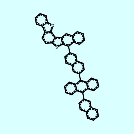 c1ccc2cc(-c3c4ccccc4c(-c4ccc5cc(-c6c7ccccc7cc7c6sc6ccc8c9ccccc9oc8c67)ccc5c4)c4ccccc34)ccc2c1